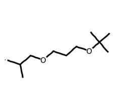 [CH2]C(C)COCCCOC(C)(C)C